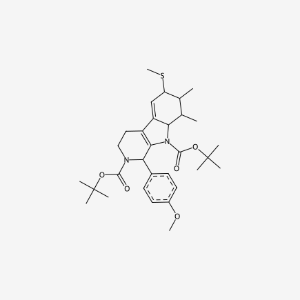 COc1ccc(C2C3=C(CCN2C(=O)OC(C)(C)C)C2=CC(SC)C(C)C(C)C2N3C(=O)OC(C)(C)C)cc1